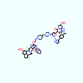 C#Cc1c(F)ccc2cc(O)cc(-c3ncc4c(N5CC6CCC(C5)N6C(=O)OC(C)(C)C)nc(OCCN5CCC(F)(CN6CCN(c7cc([C@@H](C(=O)N8C[C@H](O)C[C@H]8C(=O)N[C@@H](C)c8ccc(-c9ccnn9C)cc8)C(C)C)on7)CC6)CC5)nc4c3F)c12